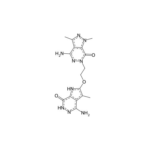 Cc1c(OCCn2nc(N)c3c(C)nn(C)c3c2=O)[nH]c2c(=O)[nH]nc(N)c12